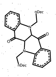 CCCCCCCCCCCN1c2ccccc2C(=O)C2C1C(=O)c1ccccc1N2CCCCCCCCCCC